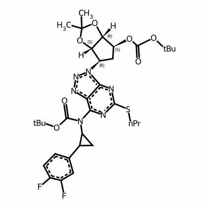 CCCSc1nc(N(C(=O)OC(C)(C)C)C2CC2c2ccc(F)c(F)c2)c2nnn([C@@H]3C[C@H](OC(=O)OC(C)(C)C)[C@H]4OC(C)(C)O[C@H]43)c2n1